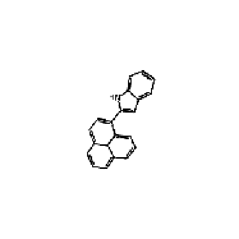 C1=CC2=CC=CC3=CC=C(c4cc5ccccc5[nH]4)C(=C1)C23